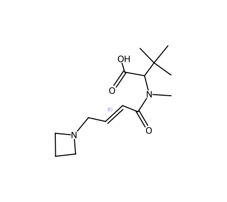 CN(C(=O)/C=C/CN1CCC1)C(C(=O)O)C(C)(C)C